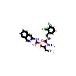 [CH2]CC(COC(=O)Nc1cc2ccccc2cn1)N(C)C(=O)NCc1cccc(F)c1Cl